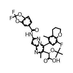 Cc1nc2cc(NC(=O)c3ccc4c(c3)OC(F)(F)O4)nn2c(-c2cc(F)c3c(c2C)CCCO3)c1[C@H](OC(C)(C)C)C(=O)O